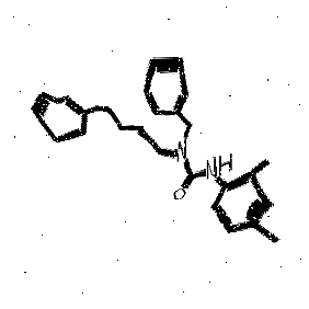 Cc1ccc(NC(=O)N(CCCCc2ccccc2)Cc2ccccc2)c(C)c1